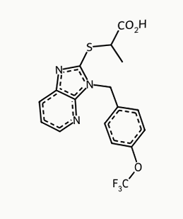 CC(Sc1nc2cccnc2n1Cc1ccc(OC(F)(F)F)cc1)C(=O)O